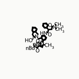 CCCCN(CCCC)C(=O)c1cc(C)n(-c2ccc(NC(=O)C(CC(=O)N(C)C)c3ccccc3)cc2C(=O)N2Cc3ccccc3C[C@H]2CO)n1